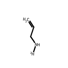 [2H]NCC=C